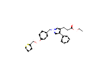 CCOC(=O)CCc1cn(Cc2ccc(OCc3cccs3)cc2)cc1-c1ccccc1